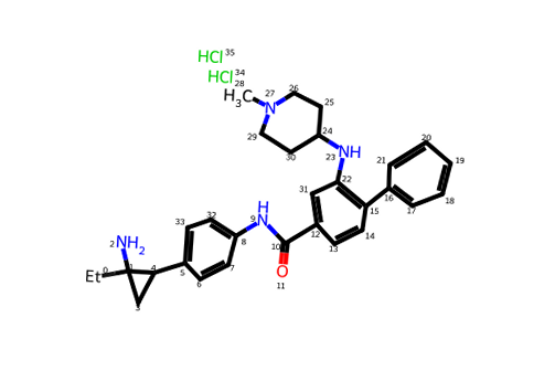 CCC1(N)CC1c1ccc(NC(=O)c2ccc(-c3ccccc3)c(NC3CCN(C)CC3)c2)cc1.Cl.Cl